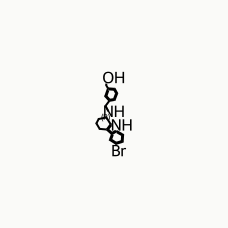 OCc1cccc(CN[C@@H]2CCCc3c2[nH]c2ccc(Br)cc32)c1